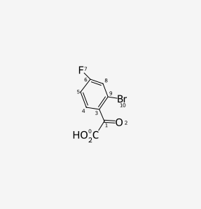 O=C(O)C(=O)c1ccc(F)cc1Br